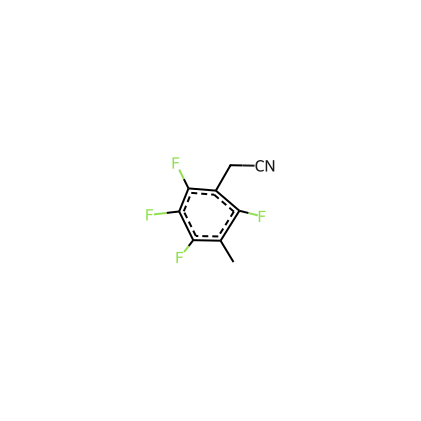 Cc1c(F)c(F)c(F)c(CC#N)c1F